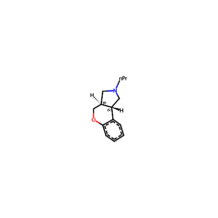 CCCN1C[C@@H]2COc3ccccc3[C@H]2C1